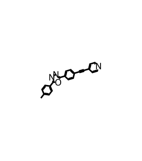 Cc1ccc(-c2nnc(-c3ccc(C#Cc4ccncc4)cc3)o2)cc1